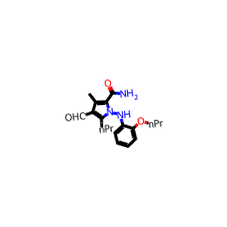 CCCOc1ccccc1Nn1c(CCC)c(C=O)c(C)c1C(N)=O